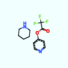 C1CCNCC1.O=C(Oc1ccncc1)C(F)(F)F